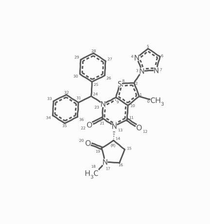 Cc1c(-n2nccn2)sc2c1c(=O)n([C@@H]1CCN(C)C1=O)c(=O)n2C(c1ccccc1)c1ccccc1